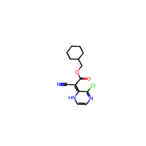 N#CC(C(=O)OCC1CCCCC1)=C1NC=CN=C1Cl